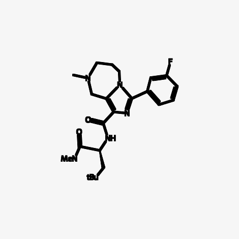 CNC(=O)[C@H](CC(C)(C)C)NC(=O)c1nc(-c2cccc(F)c2)n2c1CN(C)CCC2